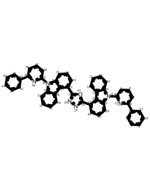 c1ccc(-c2cccc(-n3c4ccccc4c4c(-c5nnc(-c6cccc7c6c6ccccc6n7-c6cccc(-c7ccccc7)n6)o5)cccc43)n2)cc1